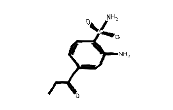 CCC(=O)c1ccc(S(N)(=O)=O)c(N)c1